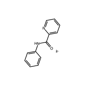 O=C(Nc1ccccc1)c1ccccn1.[Ir]